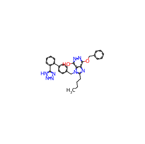 CCCCc1nc2c(OCc3ccccc3)nnc(O)c2n1Cc1ccc(-c2ccccc2-c2nnn[nH]2)cc1